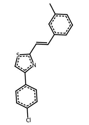 Cc1cccc(C=Cc2nc(-c3ccc(Cl)cc3)cs2)c1